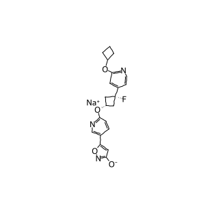 [Na+].[O-]c1cc(-c2ccc(O[C@H]3C[C@](F)(c4ccnc(OC5CCC5)c4)C3)nc2)on1